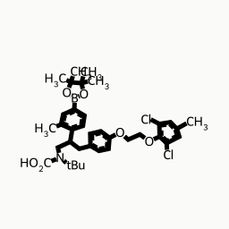 Cc1cc(Cl)c(OCCOc2ccc(CC(CN(C(=O)O)C(C)(C)C)c3ccc(B4OC(C)(C)C(C)(C)O4)cc3C)cc2)c(Cl)c1